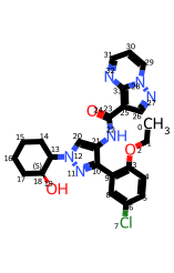 CCOc1ccc(Cl)cc1-c1nn(C2CCCC[C@@H]2O)cc1NC(=O)c1cnn2cccnc12